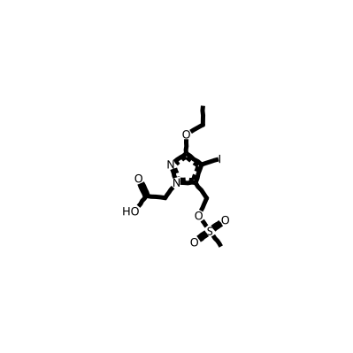 CCOc1nn(CC(=O)O)c(COS(C)(=O)=O)c1I